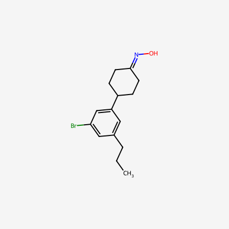 CCCc1cc(Br)cc(C2CCC(=NO)CC2)c1